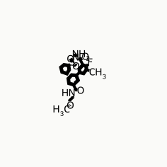 COCCNC(=O)c1cccc(-c2cc(C)c(F)c(C(=O)N(N)S(=O)(=O)c3ccccc3)c2)c1